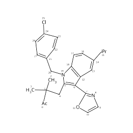 CC(=O)C(C)(C)Cc1c(-c2ncco2)c2cc(C(C)C)ccc2n1Cc1ccc(Cl)cc1